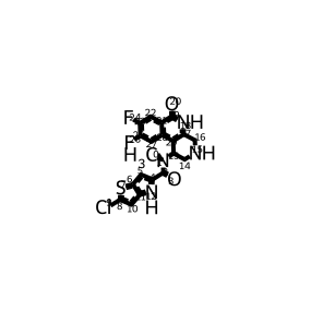 CN(C(=O)c1cc2sc(Cl)cc2[nH]1)C1CNCc2[nH]c(=O)c3cc(F)c(F)cc3c21